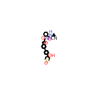 N#CC1(NC(=O)C2(NC(=O)c3cc4ccc(-c5ccc(C6(O)CC[S+]([O-])CC6)cc5)cc4o3)CCCCC2)CC1